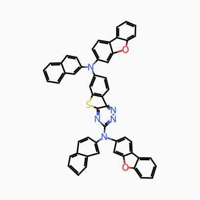 c1ccc2cc(N(c3ccc4c(c3)oc3ccccc34)c3ccc4c(c3)sc3nc(N(c5ccc6ccccc6c5)c5ccc6c(c5)oc5ccccc56)nnc34)ccc2c1